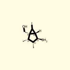 B[C@H]1[C@H](C)[C@H](C)[C@@]2(CO)C(I)[C@H]12